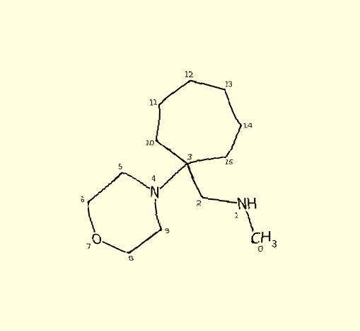 CNCC1(N2CCOCC2)CCCCCC1